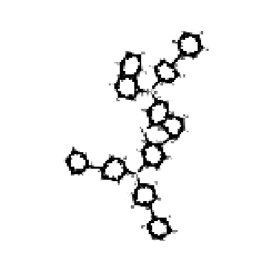 c1ccc(-c2ccc(N(c3ccc(-c4ccccc4)cc3)c3ccc4c(c3)Oc3cc(N(c5ccc(-c6ccccc6)cc5)c5cccc6ccccc56)cc5cccc-4c35)cc2)cc1